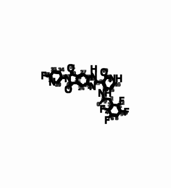 C[C@H](Cc1c(F)c(F)cc(F)c1F)Nc1cc[nH]c(=O)c1-c1nc2cc3c(cc2[nH]1)C(=O)N(c1ccc(F)nc1)C3=O